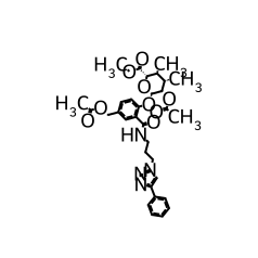 COC(=O)[C@H]1O[C@@H](Oc2ccc(COC(C)=O)cc2C(=O)NCCCn2cc(-c3ccccc3)nn2)[C@H](OC(C)=O)[C@@H](C)[C@@H]1C